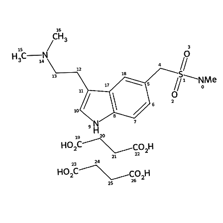 CNS(=O)(=O)Cc1ccc2[nH]cc(CCN(C)C)c2c1.O=C(O)CCC(=O)O.O=C(O)CCC(=O)O